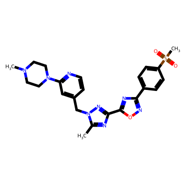 Cc1nc(-c2nc(-c3ccc(S(C)(=O)=O)cc3)no2)nn1Cc1ccnc(N2CCN(C)CC2)c1